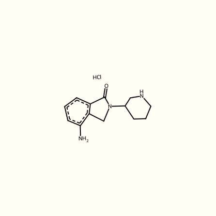 Cl.Nc1cccc2c1CN(C1CCCNC1)C2=O